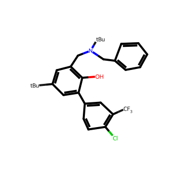 CC(C)(C)c1cc(CN(Cc2ccccc2)C(C)(C)C)c(O)c(-c2ccc(Cl)c(C(F)(F)F)c2)c1